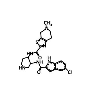 CN1CCc2nc(C(=O)NC3CCNCC3NC(=O)c3cc4cc(Cl)ccc4[nH]3)sc2C1